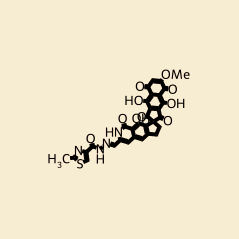 COC1=CC(=O)c2c(O)c3c(c(O)c2C1=O)C(=O)C1(CCc2cc4cc(/C=N/NC(=O)c5csc(C)n5)[nH]c(=O)c4c(O)c21)C3=O